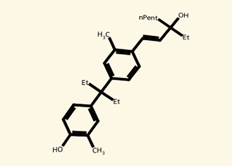 CCCCCC(O)(/C=C/c1ccc(C(CC)(CC)c2ccc(O)c(C)c2)cc1C)CC